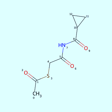 CC(=O)SCC(=O)NC(=O)C1CC1